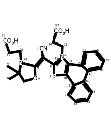 CC1(C)CO/C(=C(/C#N)c2sc3c4ccccc4c4ccccc4c3[n+]2CCC(=O)O)N1CCC(=O)O